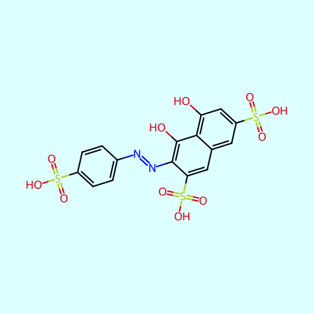 O=S(=O)(O)c1ccc(N=Nc2c(S(=O)(=O)O)cc3cc(S(=O)(=O)O)cc(O)c3c2O)cc1